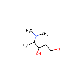 [CH2]C(C(O)CCO)N(C)C